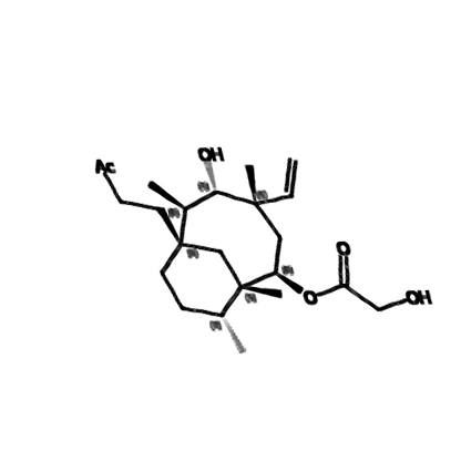 C=C[C@]1(C)C[C@@H](OC(=O)CO)[C@@]2(C)C[C@](CCC(C)=O)(CC[C@H]2C)[C@@H](C)[C@@H]1O